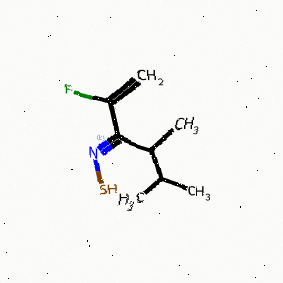 C=C(F)/C(=N/S)C(C)C(C)C